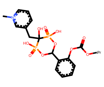 CC(C)OC(=O)Oc1ccccc1C1OP(=O)(O)C(O)(Cc2ccc[n+](C)c2)P(=O)(O)O1